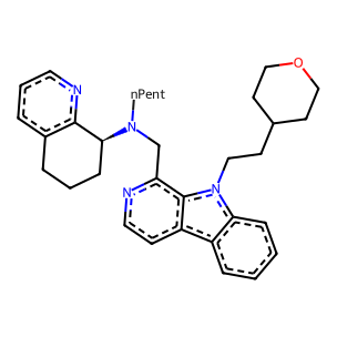 CCCCCN(Cc1nccc2c3ccccc3n(CCC3CCOCC3)c12)[C@H]1CCCc2cccnc21